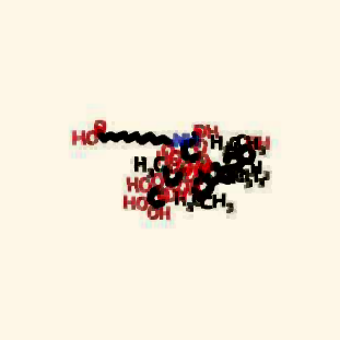 CC1C2(C)CCC(O)C(C)(C)[C@@H]2CC[C@@]12CC=C1C3CC(C)(C)CCC3(C(=O)O[C@@H]3O[C@H](CO)C(NC(=O)CCCCCCCCCCC(=O)O)C(O)C3O[C@@H]3O[C@H](C)C(O[C@@H]4OC[C@@H](O)C(O)C4O)C(O)C3O)[C@H](O)C[C@]12C